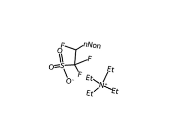 CCCCCCCCCC(F)C(F)(F)S(=O)(=O)[O-].CC[N+](CC)(CC)CC